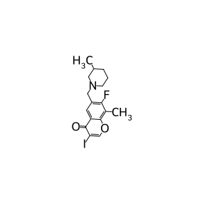 Cc1c(F)c(CN2CCCC(C)C2)cc2c(=O)c(I)coc12